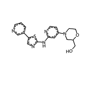 OCC1CN(c2ccnc(Nc3ncc(-c4cccnc4)s3)c2)CCO1